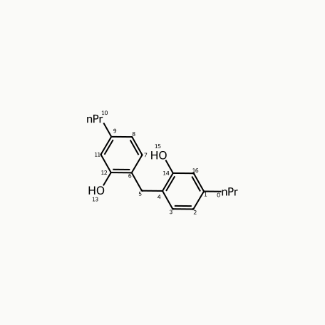 CCCc1ccc(Cc2ccc(CCC)cc2O)c(O)c1